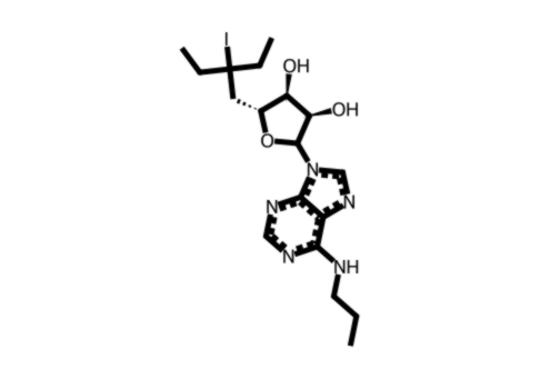 CCCNc1ncnc2c1ncn2C1O[C@H](CC(I)(CC)CC)[C@@H](O)[C@H]1O